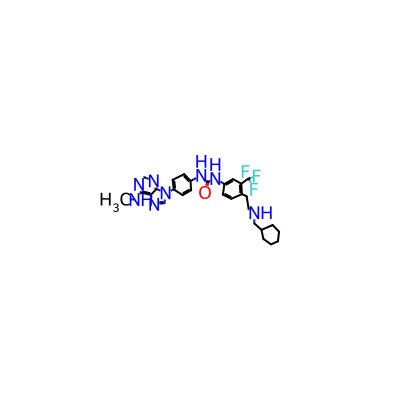 CNc1ncnc2c1ncn2-c1ccc(NC(=O)Nc2ccc(CCNCC3CCCCC3)c(C(F)(F)F)c2)cc1